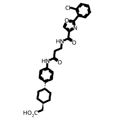 O=C(O)C[C@H]1CC[C@H](c2ccc(NC(=O)CCNC(=O)c3coc(-c4ccccc4Cl)n3)cc2)CC1